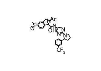 CC(=O)N1Cc2cc([S+](C)[O-])ccc2C1C(=O)Nc1cnc(N2CCCC2c2cccc(C(F)(F)F)c2)nc1